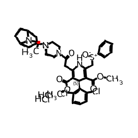 CCN1C2CCC1CC(N1CCN(C(=O)CC3=C(C(=O)OC)[C@H](c4c(Cl)cccc4Cl)C(C(=O)OC)=C(C[S+]([O-])c4ccccc4)N3)CC1)C2.Cl.Cl